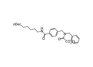 CCCCCCCCCCCCCCCNC(=O)c1ccc(CN(Cc2ccccc2)C(=O)C(=O)OCC)cc1